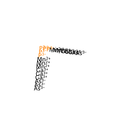 [As-3].[As-3].[As-3].[As-3].[As-3].[Ga+3].[Ga+3].[Ga+3].[Ga+3].[Ga+3].[Ga+3].[Mn+2].[Mn+2].[Mn+2].[Mn+2].[Mn+2].[Mn+2].[P-3].[P-3].[P-3].[P-3].[P-3]